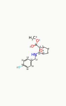 COC(=O)C1C2CCC(O2)C1NCc1ccc(F)cc1